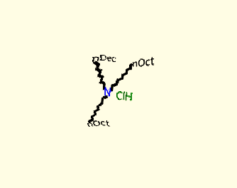 CCCCCCCCC=CCCCCCCCCN(CCCCCCCCC=CCCCCCCCC)CCCCCCCCCCCCCCCCCCC.Cl